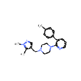 Cc1c(CN2CCN(c3ncccc3-c3ccc(C(F)(F)F)cc3)CC2)cnn1C